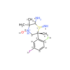 CC1(C)C(N)S(=N)[C@](C)(c2cc(I)ccc2F)C[NH+]1[O-]